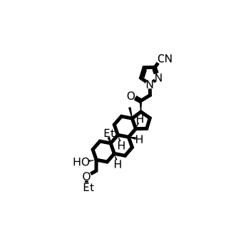 CCOC[C@@]1(O)CC[C@@]2(CC)[C@@H](CC[C@H]3[C@@H]4CC[C@H](C(=O)Cn5ccc(C#N)n5)[C@@]4(C)CC[C@@H]32)C1